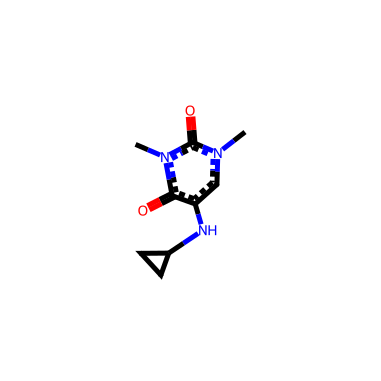 Cn1cc(NC2CC2)c(=O)n(C)c1=O